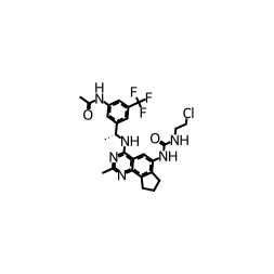 CC(=O)Nc1cc([C@@H](C)Nc2nc(C)nc3c4c(c(NC(=O)NCCCl)cc23)CCC4)cc(C(F)(F)F)c1